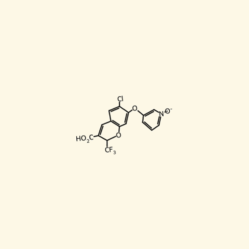 O=C(O)C1=Cc2cc(Cl)c(Oc3ccc[n+]([O-])c3)cc2OC1C(F)(F)F